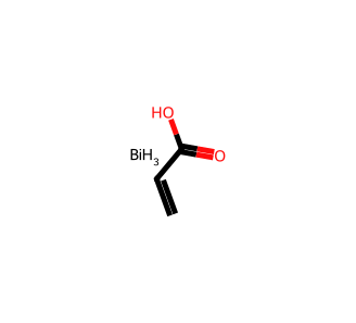 C=CC(=O)O.[BiH3]